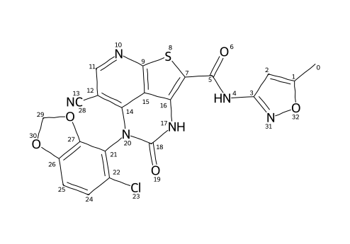 Cc1cc(NC(=O)c2sc3ncc(C#N)c4c3c2NC(=O)N4c2c(Cl)ccc3c2OCO3)no1